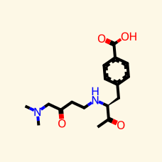 CC(=O)[C@H](Cc1ccc(C(=O)O)cc1)NCCC(=O)CN(C)C